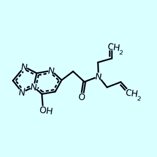 C=CCN(CC=C)C(=O)Cc1cc(O)n2ncnc2n1